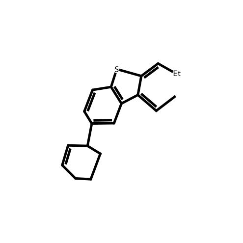 C/C=c1\c(=C/CC)sc2ccc(C3C=CCCC3)cc12